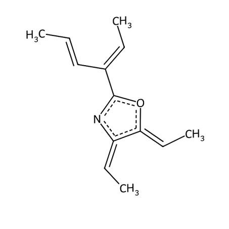 CC=C/C(=C\C)c1n/c(=C/C)c(=CC)o1